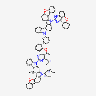 C=C/C=C\C(=C/C)n1c2c(c3c4oc5ccccc5c4ccc31)[C@@H](C)C1C(=C2)N(c2nc(/C=C\C)c3c(n2)-c2cccc(-c4cccc(-n5c6ccccc6c6c7c8ccc9oc%10ccccc%10c9c8n(-c8nc9c%10c(cccc%10n8)Oc8ccccc8-9)c7ccc65)c4)c2OC3=C)c2ccccc21